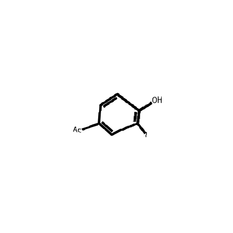 CC(=O)c1ccc(O)c(I)c1